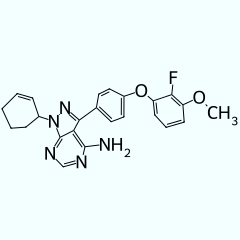 COc1cccc(Oc2ccc(-c3nn(C4C=CCCC4)c4ncnc(N)c34)cc2)c1F